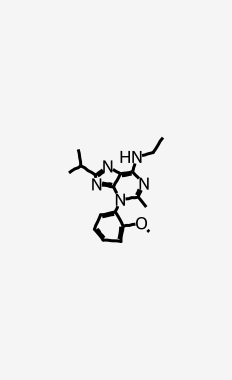 CCNc1nc(C)n(-c2ccccc2OC)c2nc(C(C)C)nc1-2